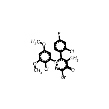 COc1cc(OC)c(Cl)c(-n2nc(Br)c(=O)c(C)c2-c2ccc(F)cc2Cl)c1